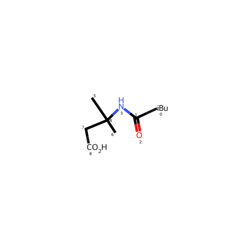 CCC(C)C(=O)NC(C)(C)CC(=O)O